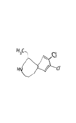 CC[C@H]1CNCCc2cc(Cl)c(Cl)cc21